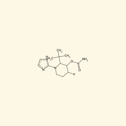 CC(C)(C)C1C(OC(N)=O)C(F)CCN1c1ncc[nH]1